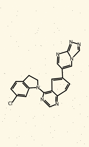 Clc1ccc2c(c1)N(c1ncnc3ccc(-c4cnc5nncn5c4)cc13)CC2